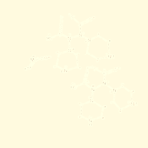 S=C([S-])N(N1CCNCC1)N(C(=S)S)N1CCNCC1.S=C([S-])N(N1CCNCC1)N(C(=S)S)N1CCNCC1.[O]=[Mo+2]=[O]